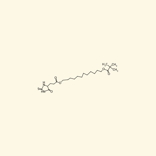 CC(C)(C)C(=O)OCCCCCCCCCCCCOC(=O)CCC1NC(=S)NC1=O